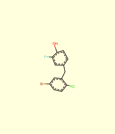 Oc1ccc(Cc2cc(Br)ccc2Cl)cc1F